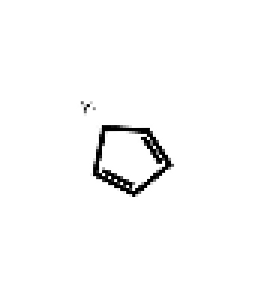 [CH]1C=CC=C1.[Y]